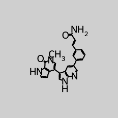 Cn1cc(-c2c[nH]c3ncc(-c4cccc(C=CC(N)=O)c4)cc23)c2cc[nH]c2c1=O